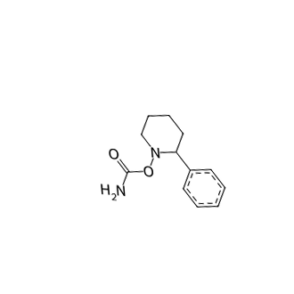 NC(=O)ON1CCCCC1c1ccccc1